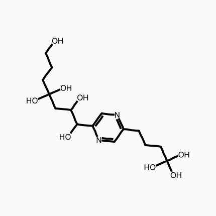 OCCCC(O)(O)CC(O)C(O)c1cnc(CCCC(O)(O)O)cn1